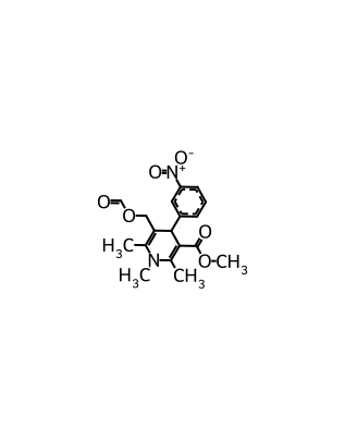 COC(=O)C1=C(C)N(C)C(C)=C(COC=O)C1c1cccc([N+](=O)[O-])c1